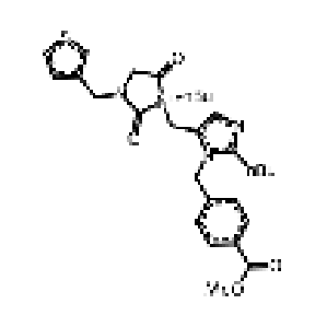 CCCCc1ncc(C[N+]2(CCCC)C(=O)CN(Cc3ccsc3)C2=O)n1Cc1ccc(C(=O)OC)cc1